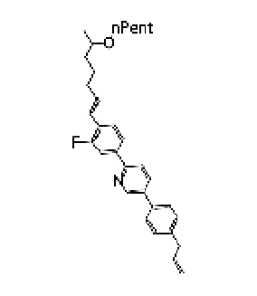 C=CCc1ccc(-c2ccc(-c3ccc(C=CCCCC(C)OCCCCC)c(F)c3)nc2)cc1